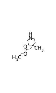 CCOC(=O)CC1(C)CCNCC1